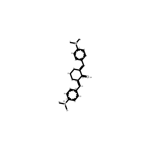 CN(C)c1ccc(/C=C2\CCC/C(=C\c3ccc(N(C)C)cc3)C2=O)cc1